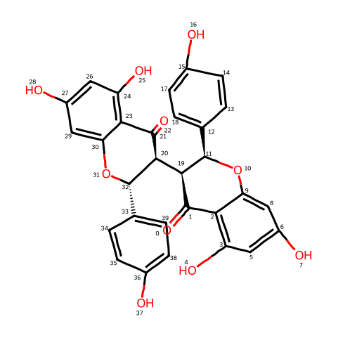 O=C1c2c(O)cc(O)cc2O[C@H](c2ccc(O)cc2)[C@@H]1[C@@H]1C(=O)c2c(O)cc(O)cc2O[C@H]1c1ccc(O)cc1